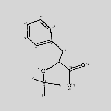 CC(C)(C)OC(Cc1ccccc1)C(=O)O